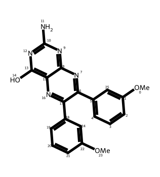 COc1cccc(-c2nc3nc(N)nc(O)c3nc2-c2cccc(OC)c2)c1